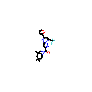 CC1(C)CC2CC(C)(CN2C(=O)c2cc3nc(-c4ccco4)cc(C(F)(F)F)n3n2)C1